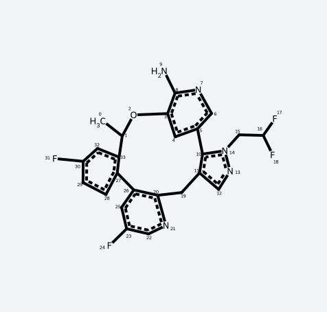 CC1Oc2cc(cnc2N)-c2c(cnn2CC(F)F)Cc2ncc(F)cc2-c2ccc(F)cc21